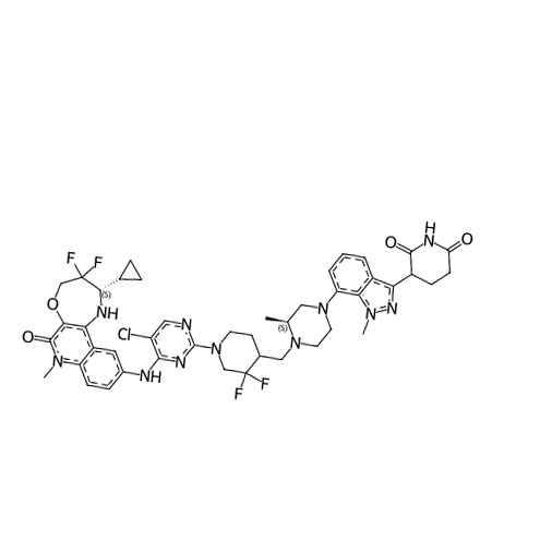 C[C@H]1CN(c2cccc3c(C4CCC(=O)NC4=O)nn(C)c23)CCN1CC1CCN(c2ncc(Cl)c(Nc3ccc4c(c3)c3c(c(=O)n4C)OCC(F)(F)[C@H](C4CC4)N3)n2)CC1(F)F